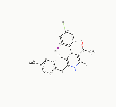 COC(=O)C1=C(C)NC(Cc2ccc(OC)cc2)=C(C)C1c1ccc(F)cc1I